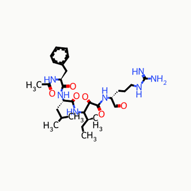 CC[C@H](C)C(NC(=O)[C@H](CC(C)C)NC(=O)[C@H](Cc1ccccc1)NC(C)=O)C(=O)C(=O)N[C@@H](C=O)CCCNC(=N)N